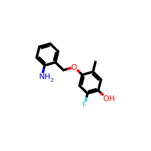 Cc1cc(O)c(F)cc1OCc1ccccc1N